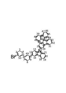 BrC1=CCCC(c2cccc(-c3ccc4c(c3)c3ccccc3n4-c3ccc4c(c3)-c3ccccc3C4(c3ccccc3)c3ccccc3)c2)=C1